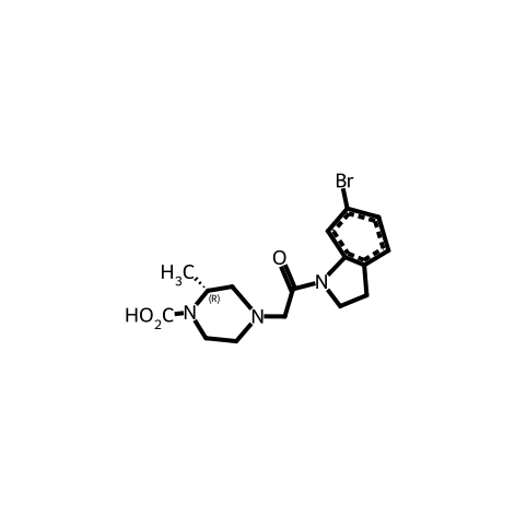 C[C@@H]1CN(CC(=O)N2CCc3ccc(Br)cc32)CCN1C(=O)O